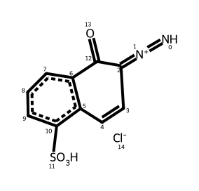 N=[N+]=C1C=Cc2c(cccc2S(=O)(=O)O)C1=O.[Cl-]